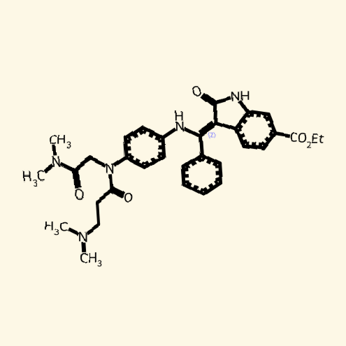 CCOC(=O)c1ccc2c(c1)NC(=O)/C2=C(\Nc1ccc(N(CC(=O)N(C)C)C(=O)CCN(C)C)cc1)c1ccccc1